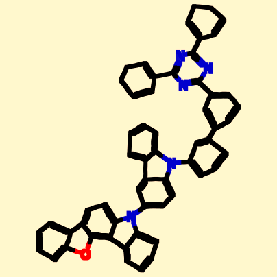 C1=CC(c2nc(C3=CCCC=C3)nc(-c3cccc(-c4cccc(-n5c6ccccc6c6cc(-n7c8ccccc8c8c9oc%10ccccc%10c9ccc87)ccc65)c4)c3)n2)=CCC1